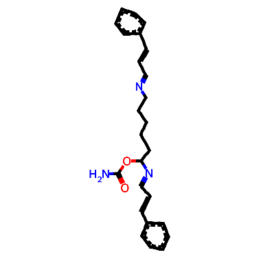 NC(=O)OC(CCCCCN=C/C=C/c1ccccc1)N=C/C=C/c1ccccc1